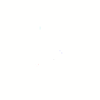 F/C=C1\CN2CCCC2(COI)C1